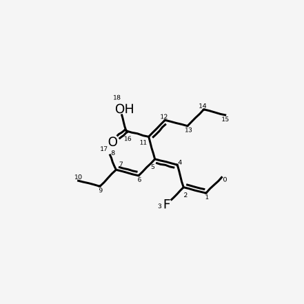 C\C=C(F)/C=C(\C=C(/C)CC)C(=C\CCC)/C(=O)O